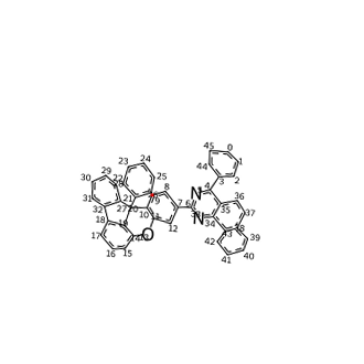 c1ccc(-c2nc(-c3ccc4c(c3)Oc3cccc5c3C4(c3ccccc3)c3ccccc3-5)nc3c2ccc2ccccc23)cc1